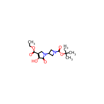 CCOC(=O)C1=C(O)C(=O)N(C2CN(C(=O)OC(C)(C)C)C2)C1